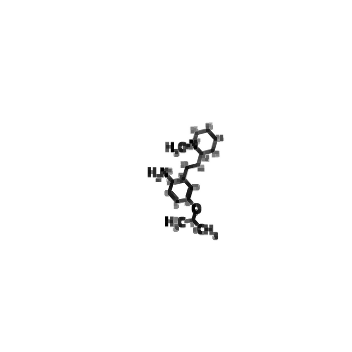 CC(C)Oc1ccc(N)c(CCC2CCCCN2C)c1